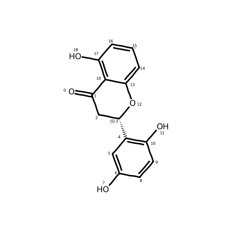 O=C1C[C@@H](c2cc(O)ccc2O)Oc2c[c]cc(O)c21